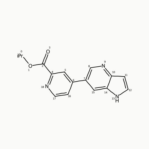 CC(C)OC(=O)c1cc(-c2cnc3cc[nH]c3c2)ccn1